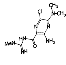 CNC(=N)NC(=O)c1nc(Cl)c(N(C)C)nc1N